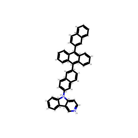 c1ccc2cc(-c3c4ccccc4c(-c4ccc5cc(-n6c7ccccc7c7cnccc76)ccc5c4)c4ccccc34)ccc2c1